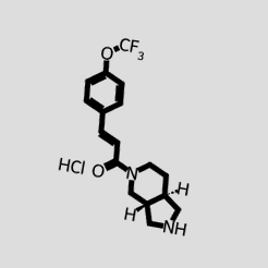 Cl.O=C(C=Cc1ccc(OC(F)(F)F)cc1)N1CC[C@H]2CNC[C@@H]2C1